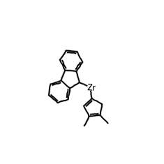 CC1=C(C)C[C]([Zr][CH]2c3ccccc3-c3ccccc32)=C1